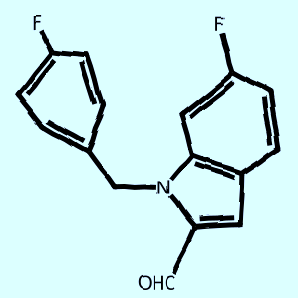 O=Cc1cc2ccc(F)cc2n1Cc1ccc(F)cc1